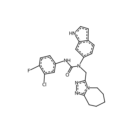 O=C(Nc1ccc(F)c(Cl)c1)N(Cc1nnc2n1CCCCC2)c1ccc2cc[nH]c2c1